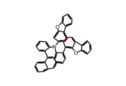 c1ccc(N(c2ccc3c(c2)oc2ccccc23)c2ccccc2-c2cccc3c2oc2ccccc23)c(-c2cccc3ccccc23)c1